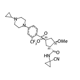 CO[C@@H]1C[C@H](S(=O)(=O)c2ccc(N3CCN(C4CC4)CC3)cc2C(F)(F)F)C[C@H]1C(=O)NC1(C#N)CC1